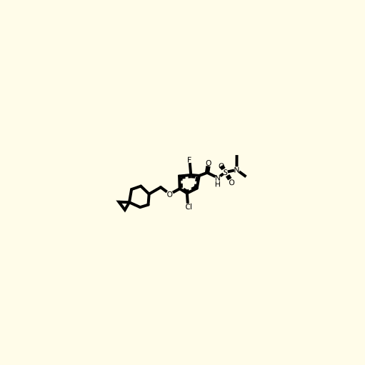 CN(C)S(=O)(=O)NC(=O)c1cc(Cl)c(OCC2CCC3(CC2)CC3)cc1F